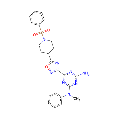 CN(c1ccccc1)c1nc(N)nc(-c2noc(C3CCN(S(=O)(=O)c4ccccc4)CC3)n2)n1